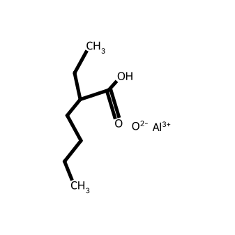 CCCCC(CC)C(=O)O.[Al+3].[O-2]